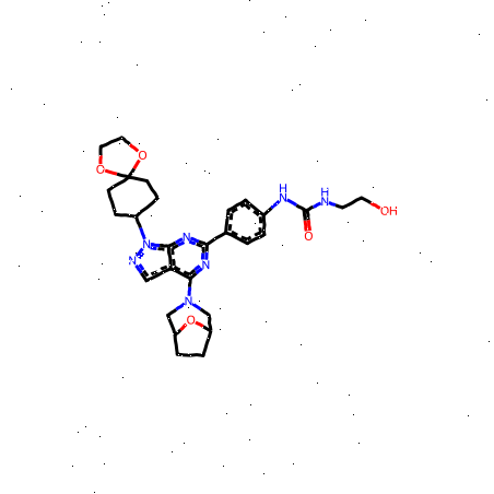 O=C(NCCO)Nc1ccc(-c2nc(N3CC4CCC(C3)O4)c3cnn(C4CCC5(CC4)OCCO5)c3n2)cc1